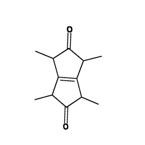 CC1C(=O)C(C)C2=C1C(C)C(=O)C2C